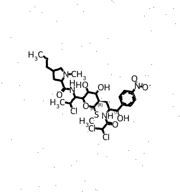 CCCC1CC(C(=O)NC(C(C)Cl)C2O[C@H](SC)[C@H]([CH]C(NC(=O)C(Cl)Cl)[C@@H](O)c3ccc([N+](=O)[O-])cc3)C(O)C2O)N(C)C1